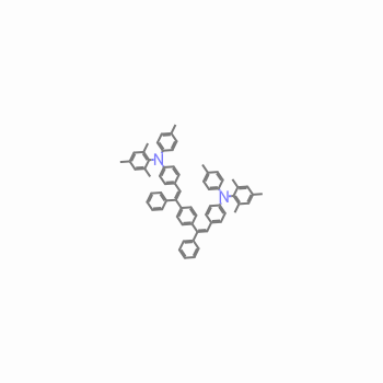 Cc1ccc(N(c2ccc(C=C(c3ccccc3)c3ccc(C(=Cc4ccc(N(c5ccc(C)cc5)c5c(C)cc(C)cc5C)cc4)c4ccccc4)cc3)cc2)c2c(C)cc(C)cc2C)cc1